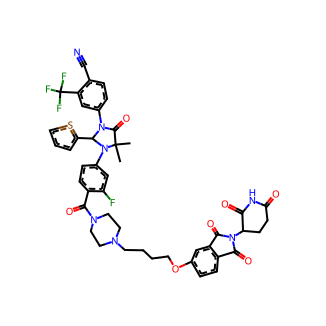 CC1(C)C(=O)N(c2ccc(C#N)c(C(F)(F)F)c2)C(c2cccs2)N1c1ccc(C(=O)N2CCN(CCCCOc3ccc4c(c3)C(=O)N(C3CCC(=O)NC3=O)C4=O)CC2)c(F)c1